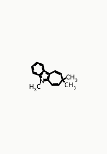 Cn1c2c(c3ccccc31)C=CC(C)(C)C=C2